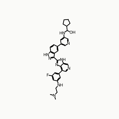 CN(C)CCNc1cc(F)cc(-c2cncc3[nH]c(-c4n[nH]c5ccc(-c6cncc(NC(O)C7CCCC7)c6)cc45)nc23)c1